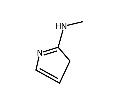 CNC1=NC=CC1